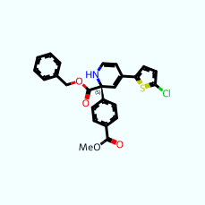 COC(=O)c1ccc([C@]2(C(=O)OCc3ccccc3)C=C(c3ccc(Cl)s3)C=CN2)cc1